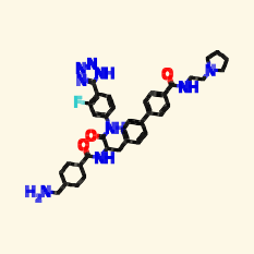 NCC1CCC(C(=O)NC(Cc2ccc(-c3ccc(C(=O)NCCN4CCCC4)cc3)cc2)C(=O)Nc2ccc(-c3nnn[nH]3)c(F)c2)CC1